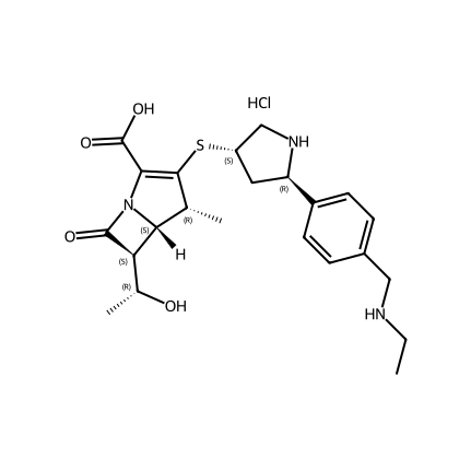 CCNCc1ccc([C@H]2C[C@H](SC3=C(C(=O)O)N4C(=O)[C@H]([C@@H](C)O)[C@H]4[C@H]3C)CN2)cc1.Cl